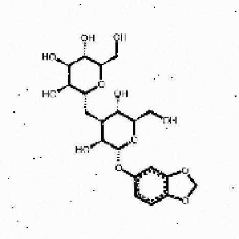 OC[C@H]1O[C@H](C[C@@H]2[C@H](O)[C@@H](Oc3ccc4c(c3)OCO4)O[C@H](CO)[C@H]2O)[C@@H](O)[C@@H](O)[C@@H]1O